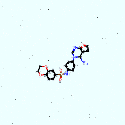 NC1c2ccoc2N=CN1c1ccc(NS(=O)(=O)c2ccc3c(c2)OCCO3)cc1